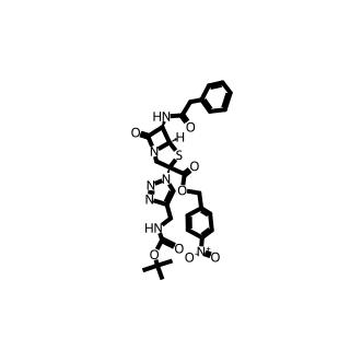 CC(C)(C)OC(=O)NCc1cn([C@]2(C(=O)OCc3ccc([N+](=O)[O-])cc3)CN3C(=O)[C@@H](NC(=O)Cc4ccccc4)[C@H]3S2)nn1